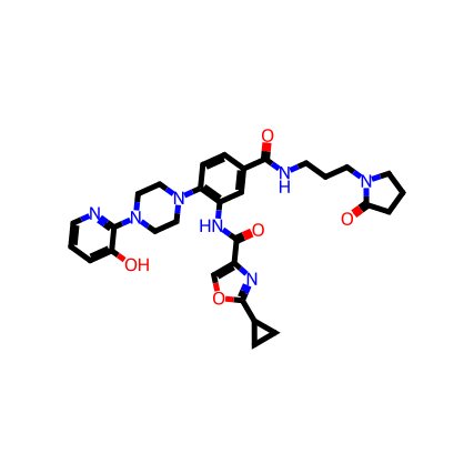 O=C(NCCCN1CCCC1=O)c1ccc(N2CCN(c3ncccc3O)CC2)c(NC(=O)c2coc(C3CC3)n2)c1